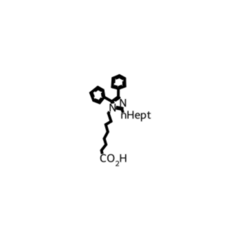 CCCCCCCc1nc(-c2ccccc2)c(-c2ccccc2)n1CCCCCCCC(=O)O